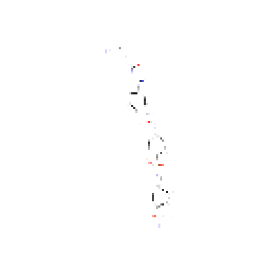 N=C(NC(=O)C1CCNCC1)c1cccc(NC(=O)Nc2ccc(S(=O)(=O)NCc3ccc(S(N)(=O)=O)cc3)cc2)c1